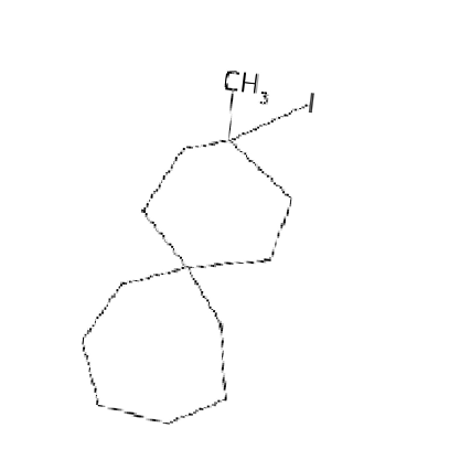 CC1(I)CCC2(CCCCCC2)CC1